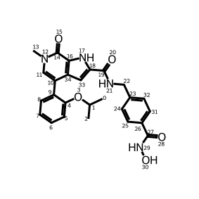 CC(C)Oc1ccccc1-c1cn(C)c(=O)c2[nH]c(C(=O)NCc3ccc(C(=O)NO)cc3)cc12